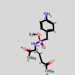 CCOP(=O)(Cc1ccc(N)cc1)N[C@@H](CCC(=O)OC)C(=O)OC